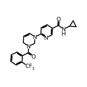 O=C(NC1CC1)c1ccc(N2C=CCN(C(=O)c3ccccc3C(F)(F)F)C2)nc1